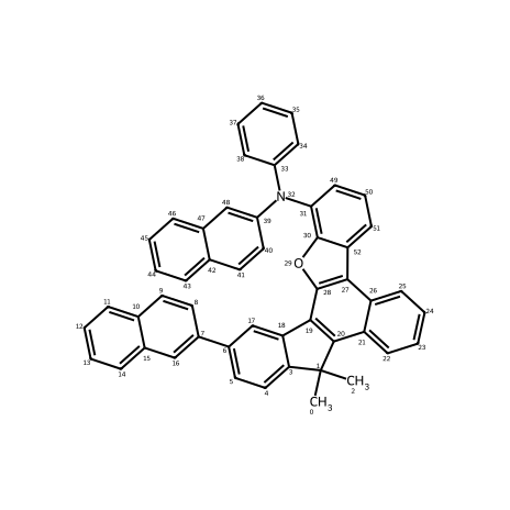 CC1(C)c2ccc(-c3ccc4ccccc4c3)cc2-c2c1c1ccccc1c1c2oc2c(N(c3ccccc3)c3ccc4ccccc4c3)cccc21